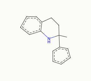 CC1(c2ccccc2)CCc2ccccc2N1